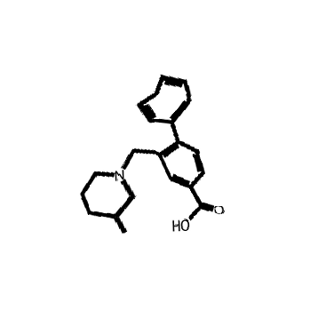 CC1CCCN(Cc2cc(C(=O)O)ccc2-c2ccccc2)C1